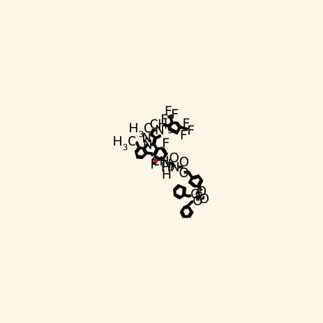 CCc1cccc(CC)c1-n1nc2c(c1-c1cc(F)c(NC(=O)NC(=O)OCc3ccc(OP(=O)(OCc4ccccc4)OCc4ccccc4)cc3)cc1F)CN(Cc1ccc(C(F)(F)F)cc1C(F)(F)F)C2(C)C